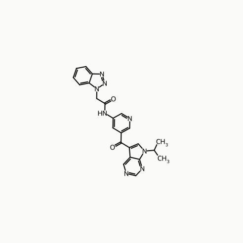 CC(C)n1cc(C(=O)c2cncc(NC(=O)Cn3nnc4ccccc43)c2)c2cncnc21